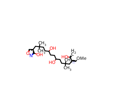 C=C(O)/C(=C\OC)CC(C)(C)CCC(O)CCC(O)CCC(C)(C)Cc1conc1O